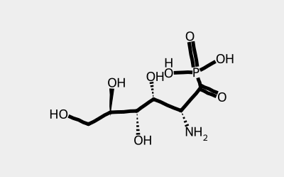 N[C@@H](C(=O)P(=O)(O)O)[C@@H](O)[C@H](O)[C@H](O)CO